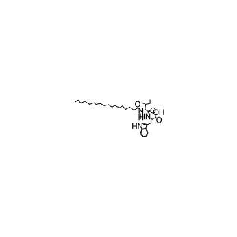 CCCCCCCCCCCCCCCCCC(=O)N[C@H](C(=O)N[C@@H](Cc1c[nH]c2ccccc12)C(=O)O)[C@@H](C)CC